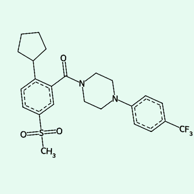 CS(=O)(=O)c1ccc(C2CCCC2)c(C(=O)N2CCN(c3ccc(C(F)(F)F)cc3)CC2)c1